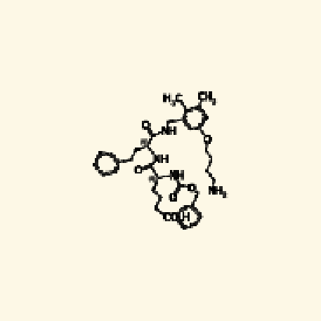 Cc1cc(OCCCCN)cc(CNC(=O)[C@H](CCc2ccccc2)NC(=O)[C@H](CCCC(=O)O)NC(=O)OCc2ccccc2)c1C